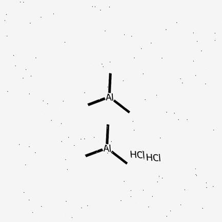 Cl.Cl.[CH3][Al]([CH3])[CH3].[CH3][Al]([CH3])[CH3]